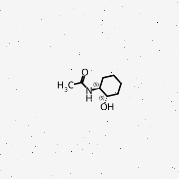 CC(=O)N[C@H]1CCCC[C@@H]1O